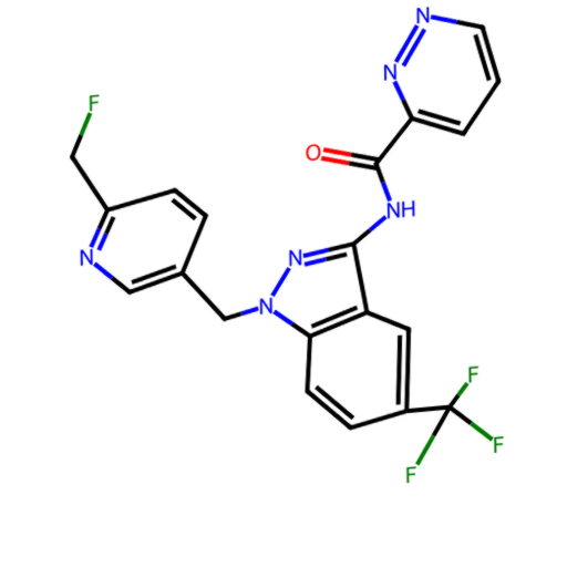 O=C(Nc1nn(Cc2ccc(CF)nc2)c2ccc(C(F)(F)F)cc12)c1cccnn1